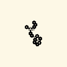 C1=CC(C2=NC(c3ccc4ccc(N5c6cc7ccccc7c(N7c8ccccc8C8C=Cc9ccccc9C87)c6C6C=CCCC65)cc4c3)NC(c3ccc4ccc5ccccc5c4c3)=N2)=CCC1